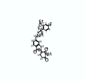 CCOc1cc(F)ccc1C(F)(F)CNCc1ccc2c(c1)CN(C1CCC(=O)NC1=O)C2=O